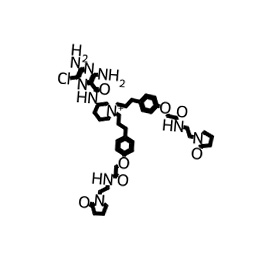 Nc1nc(N)c(C(=O)N[C@H]2CCC[N+](CCCc3ccc(OCC(=O)NCCN4CCCC4=O)cc3)(CCCc3ccc(OCC(=O)NCCN4CCCC4=O)cc3)C2)nc1Cl